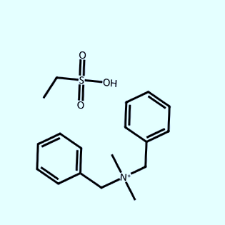 CCS(=O)(=O)O.C[N+](C)(Cc1ccccc1)Cc1ccccc1